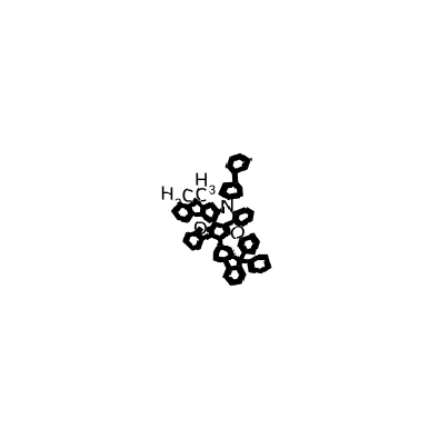 CC1(C)c2ccccc2-c2ccc(N(c3ccc(-c4ccccc4)cc3)c3cccc4oc5c(-c6ccc7c(c6)C(c6ccccc6)(c6ccccc6)c6ccccc6-7)c6c(cc5c34)oc3ccccc36)cc21